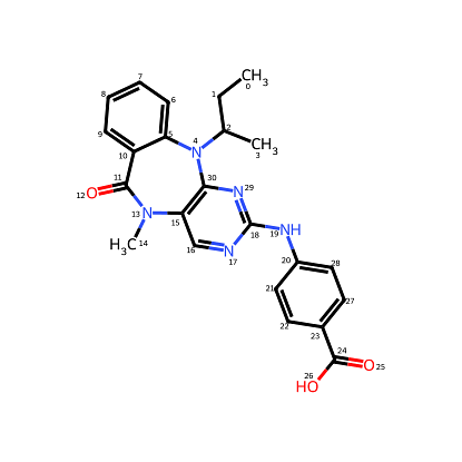 CCC(C)N1c2ccccc2C(=O)N(C)c2cnc(Nc3ccc(C(=O)O)cc3)nc21